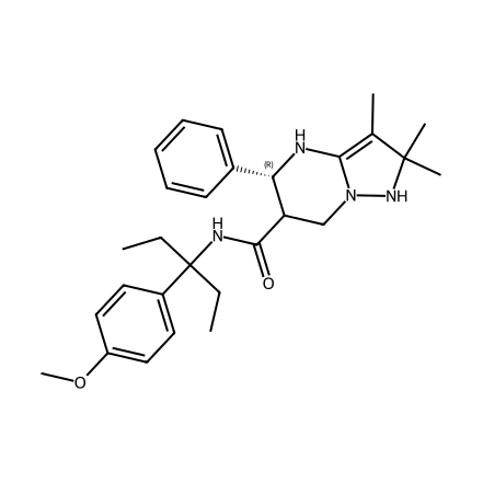 CCC(CC)(NC(=O)C1CN2NC(C)(C)C(C)=C2N[C@H]1c1ccccc1)c1ccc(OC)cc1